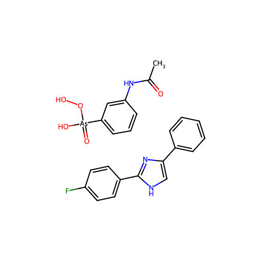 CC(=O)Nc1cccc([As](=O)(O)OO)c1.Fc1ccc(-c2nc(-c3ccccc3)c[nH]2)cc1